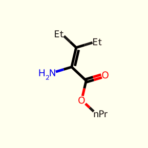 CCCOC(=O)C(N)=C(CC)CC